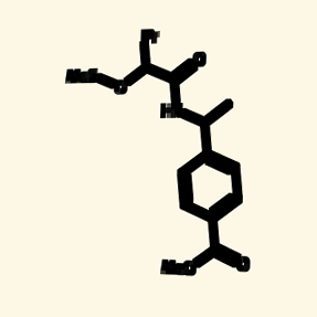 COC(=O)c1ccc(C(C)NC(=O)C(OSC)C(C)C)cc1